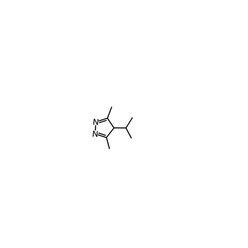 CC1=NN=C(C)C1C(C)C